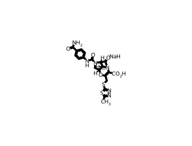 Cc1nnc(SCC2=C(C(=O)O)N3C(=O)[C@@H]4[C@H]3[C@@H](CN4C(=O)Nc3ccc(C(N)=O)cc3)O2)s1.[NaH]